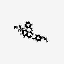 [N-]=[N+]=Nc1ccc(CN(CCSc2ccccc2)Cc2ccc(S(=O)(=O)N=[N+]=[N-])cc2)cc1